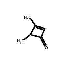 CC1=[C]C(=O)C1C